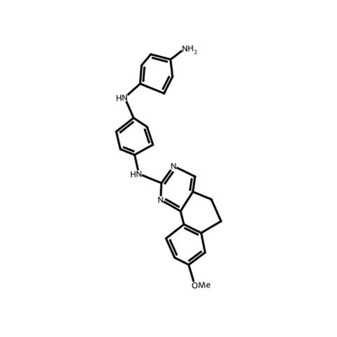 COc1ccc2c(c1)CCc1cnc(Nc3ccc(Nc4ccc(N)cc4)cc3)nc1-2